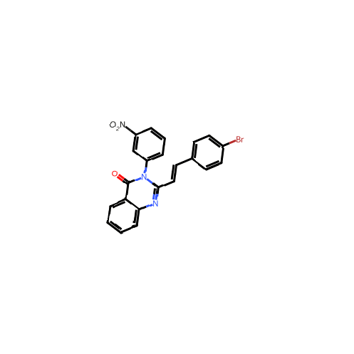 O=c1c2ccccc2nc(/C=C/c2ccc(Br)cc2)n1-c1cccc([N+](=O)[O-])c1